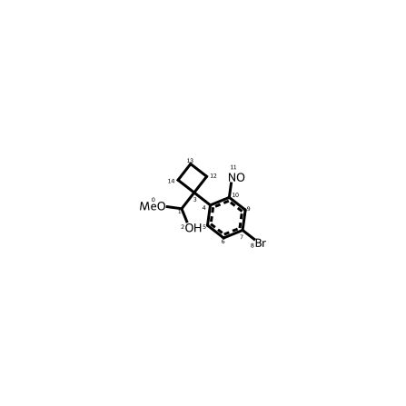 COC(O)C1(c2ccc(Br)cc2N=O)CCC1